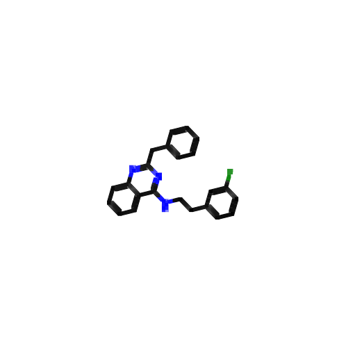 Fc1cccc(CCNc2nc(Cc3ccccc3)nc3ccccc23)c1